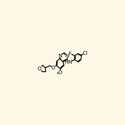 COc1cc2c(Nc3ccc(Cl)cc3F)ncnc2cc1OCC1CCOC1